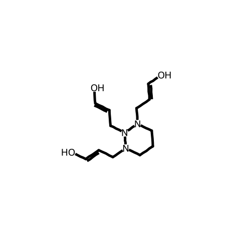 OC=CCN1CCCN(CC=CO)N1CC=CO